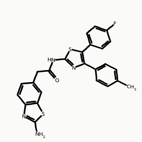 Cc1ccc(-c2nc(NC(=O)Cc3ccc4nc(N)sc4c3)sc2-c2ccc(F)cc2)cc1